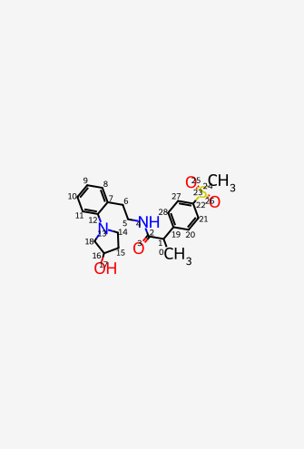 CC(C(=O)NCCc1ccccc1N1CCC(O)C1)c1ccc(S(C)(=O)=O)cc1